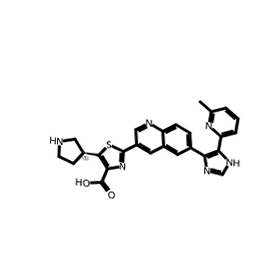 Cc1cccc(-c2[nH]cnc2-c2ccc3ncc(-c4nc(C(=O)O)c([C@H]5CCNC5)s4)cc3c2)n1